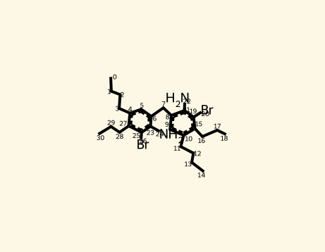 CCCCc1cc(Cc2cc(CCCC)c(CCC)c(Br)c2N)c(N)c(Br)c1CCC